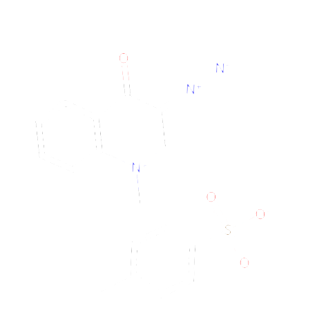 C[N+]1=CC(=[N+]=[N-])C(=O)c2ccccc21.Cc1ccc(S(=O)(=O)[O-])cc1